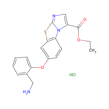 CCOC(=O)c1cnc2sc3cc(Oc4ccccc4CN)ccc3n12.Cl